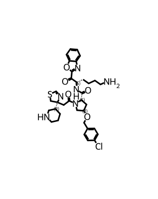 NCCCC[C@H](NC(=O)[C@@H]1C[C@@H](OCc2ccc(Cl)cc2)CN1C(=O)CC1([C@@H]2CCCNC2)CSC=N1)C(=O)c1nc2ccccc2o1